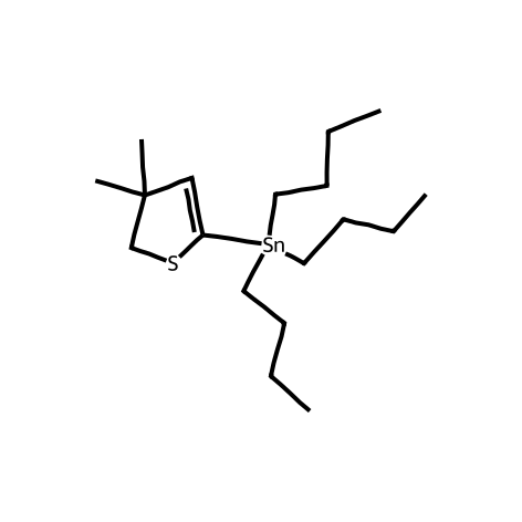 CCC[CH2][Sn]([CH2]CCC)([CH2]CCC)[C]1=CC(C)(C)CS1